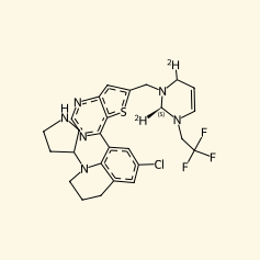 [2H]C1C=CN(CC(F)(F)F)[C@@H]([2H])N1Cc1cc2ncnc(-c3cc(Cl)cc4c3N(C3CCNC3)CCC4)c2s1